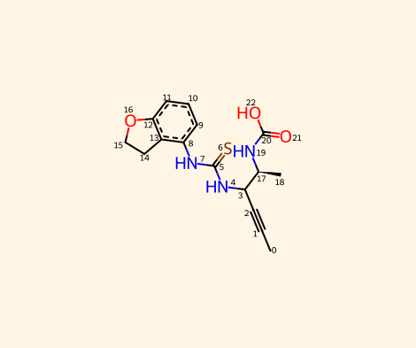 CC#CC(NC(=S)Nc1cccc2c1CCO2)[C@H](C)NC(=O)O